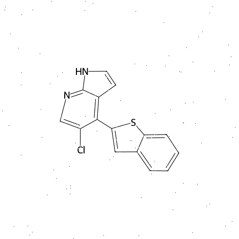 Clc1cnc2[nH]ccc2c1-c1cc2ccccc2s1